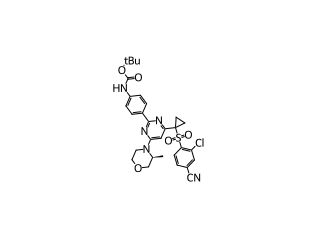 C[C@H]1COCCN1c1cc(C2(S(=O)(=O)c3ccc(C#N)cc3Cl)CC2)nc(-c2ccc(NC(=O)OC(C)(C)C)cc2)n1